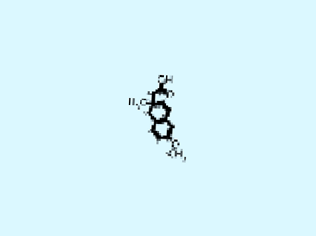 COc1ccc2c(c1)C=C[C@](C)(CC(=O)O)C2